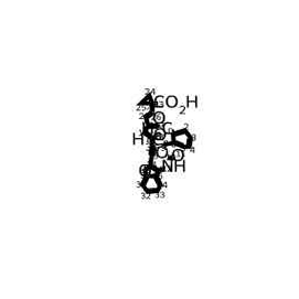 Cc1ccccc1C(C)OC(=O)Nc1c(C#Cc2cc3cc(C4(C(=O)O)CC4)oc3o2)oc2ccccc12